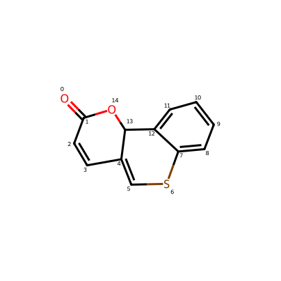 O=C1C=CC2=CSc3ccccc3C2O1